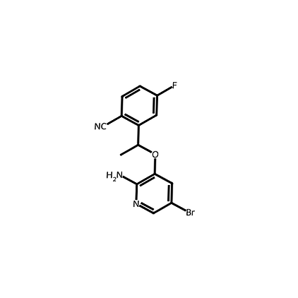 CC(Oc1cc(Br)cnc1N)c1cc(F)ccc1C#N